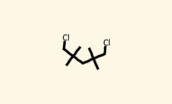 CC(C)(CCl)CC(C)(C)CCl